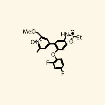 CCS(=O)(=O)Nc1ccc(Oc2ccc(F)cc2F)c(-c2cc(C)[n+]([O-])c(COC)c2)c1